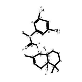 CC1=CC[C@H]2C(C)(C)CCC[C@]2(C)[C@H]1CC(=O)N(C)c1cc(O)cc(O)c1